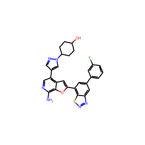 Nc1ncc(-c2cnn(C3CCC(O)CC3)c2)c2cc(-c3cc(-c4cccc(F)c4)cc4nnsc34)oc12